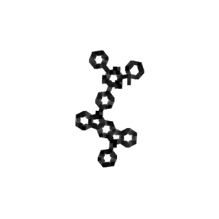 CC1(c2nc(-c3ccccc3)nc(-c3ccc(-n4c5ccccc5c5cc6c(cc54)c4ccccc4n6-c4ccccc4)cc3)n2)C=CC=CC1